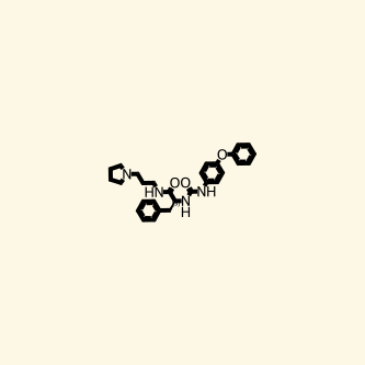 O=C(Nc1ccc(Oc2ccccc2)cc1)N[C@@H](Cc1ccccc1)C(=O)NCCCN1CCCC1